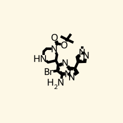 Cn1cc(-c2cnn3c(N)c(Br)c(C4CNCCN(C(=O)OC(C)(C)C)C4)nc23)cn1